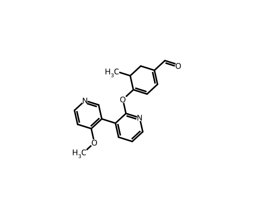 COc1ccncc1-c1cccnc1OC1=CC=C(C=O)CC1C